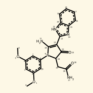 COc1cc(OC)cc(N2C(N)=C(c3nc4ccccc4[nH]3)C(=O)C2CC(N)=O)c1